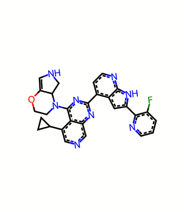 Fc1cccnc1-c1cc2c(-c3nc(N4CCOC5=CNCC54)c4c(C5CC5)cncc4n3)ccnc2[nH]1